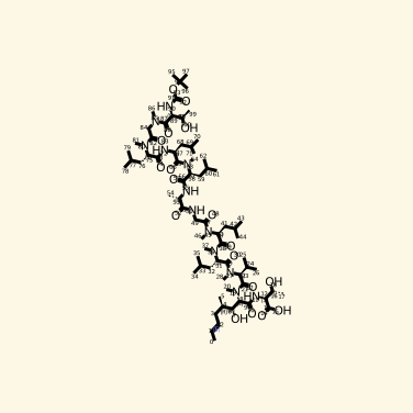 C/C=C/C[C@@H](C)[C@@H](O)[C@@H](C(=O)N[C@H](C(=O)O)[C@@H](C)O)N(C)C(=O)[C@H](C(C)C)N(C)C(=O)[C@H](CC(C)C)N(C)C(=O)[C@H](CC(C)C)N(C)C(=O)CNC(=O)[C@H](C)NC(=O)[C@H](CC(C)C)N(C)C(=O)[C@H](CC(C)C)NC(=O)[C@H](CC(C)C)N(C)C(=O)CN(C)C(=O)[C@@H](NC(=O)OC(C)(C)C)[C@@H](C)O